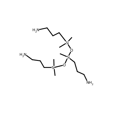 C[Si](C)(CCCN)O[Si](C)(CCCN)O[Si](C)(C)CCCN